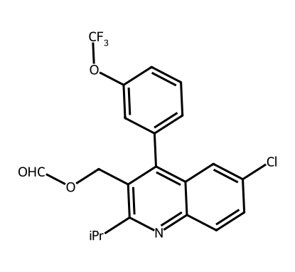 CC(C)c1nc2ccc(Cl)cc2c(-c2cccc(OC(F)(F)F)c2)c1COC=O